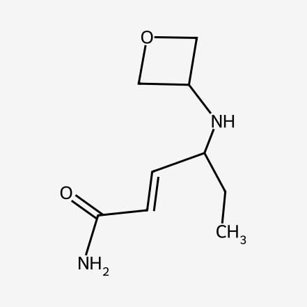 CCC(C=CC(N)=O)NC1COC1